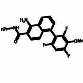 CCCNC(=O)c1ccc2c(-c3c(F)cc(F)c(OC)c3F)cccc2c1N